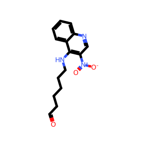 O=CCCCCCNc1c([N+](=O)[O-])cnc2ccccc12